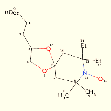 CCCCCCCCCCCCC1COC2(CC(C)(C)N([O])C(CC)(CC)C2)O1